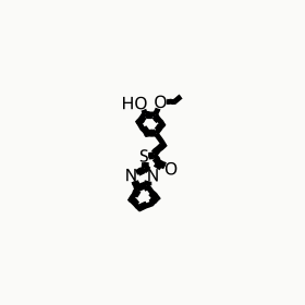 CCOc1cc(/C=c2\sc3nc4ccccc4n3c2=O)ccc1O